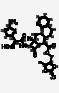 Cc1oc(=O)oc1COC(=O)C1=C(/C=C\c2cccnc2)CS[C@H]2[C@H](NC(=O)C(=NO)c3csc(N)n3)C(=O)N12